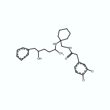 CC(CCC(O)Cc1ccccc1)NC1(CNC(=O)Cc2ccc(Cl)c(Cl)c2)CCCCC1